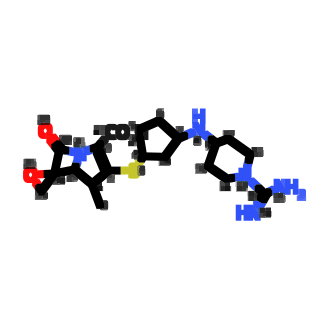 CC1C(SC2CCC(NC3CCN(C(=N)N)CC3)C2)=C(C(=O)O)N2C(=O)C3(CO3)C12